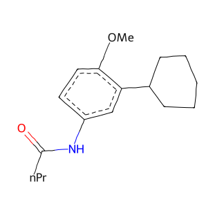 CCCC(=O)Nc1ccc(OC)c(C2CCCCC2)c1